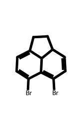 BrC1=CC=C2CCC3C=CC(Br)=C1C23